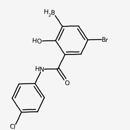 Bc1cc(Br)cc(C(=O)Nc2ccc(Cl)cc2)c1O